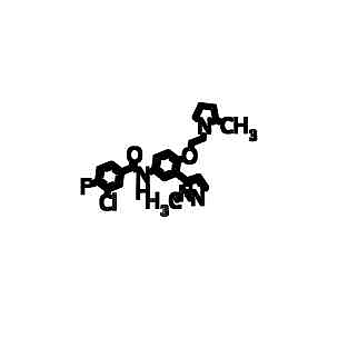 CC1CCCN1CCOc1ccc(NC(=O)c2ccc(F)c(Cl)c2)cc1-c1ccnn1C